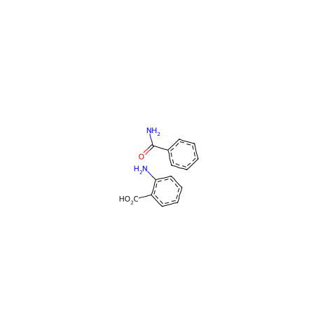 NC(=O)c1ccccc1.Nc1ccccc1C(=O)O